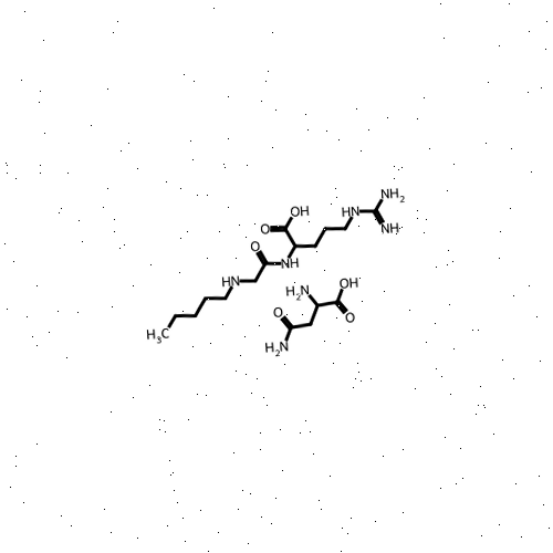 CCCCCNCC(=O)NC(CCCNC(=N)N)C(=O)O.NC(=O)CC(N)C(=O)O